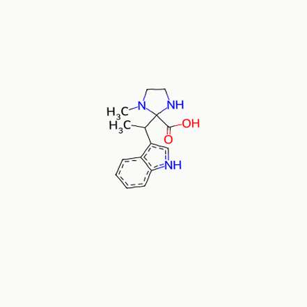 CC(c1c[nH]c2ccccc12)C1(C(=O)O)NCCN1C